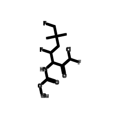 CC(C)(CF)CC(F)C(NC(=O)OC(C)(C)C)C(=O)C(F)Cl